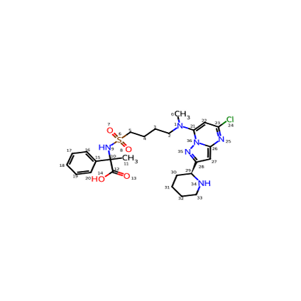 CN(CCCCS(=O)(=O)NC(C)(C(=O)O)c1ccccc1)c1cc(Cl)nc2cc([C@@H]3CCCCN3)nn12